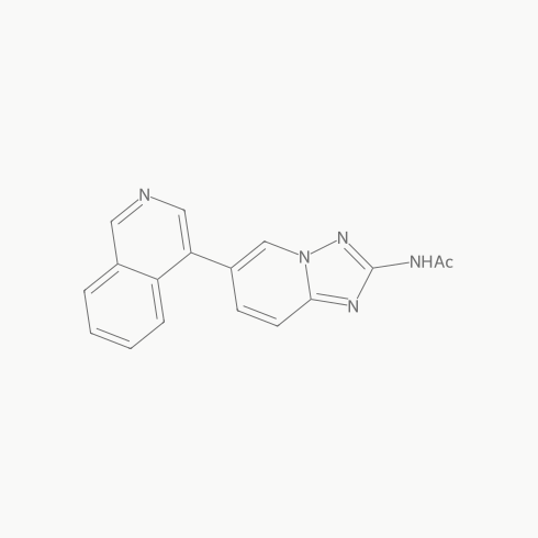 CC(=O)Nc1nc2ccc(-c3cncc4ccccc34)cn2n1